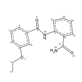 CCOc1cccc(C(=O)Nc2ccccc2C(N)=O)c1